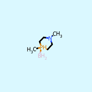 B[PH]1(C)CCN(C)CC1